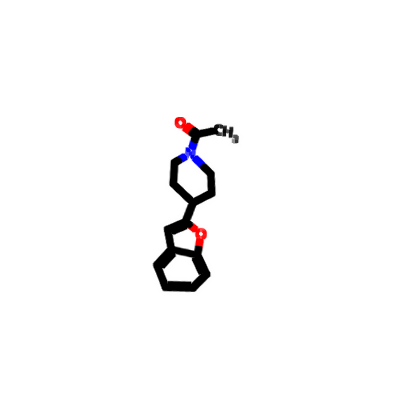 CC(=O)N1CCC(c2cc3ccccc3o2)CC1